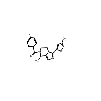 Cc1cc(-c2nnc3n2CCN(C(=O)c2ccc(F)cc2)[C@@H]3C)[nH]n1